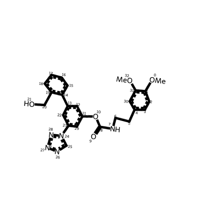 COc1ccc(CCNC(=O)Oc2cc(-c3ccccc3CO)cc(-n3cnnn3)c2)cc1OC